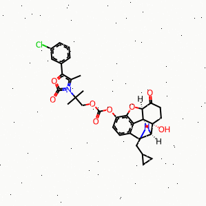 Cc1c(-c2cccc(Cl)c2)oc(=O)n1C(C)(C)COC(=O)Oc1ccc2c3c1O[C@H]1C(=O)CC[C@@]4(O)[C@@H](C2)N(CC2CC2)C[C@]314